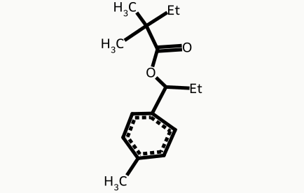 CCC(OC(=O)C(C)(C)CC)c1ccc(C)cc1